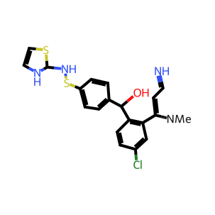 CN/C(=C\C=N)c1cc(Cl)ccc1C(O)c1ccc(SNC2NC=CS2)cc1